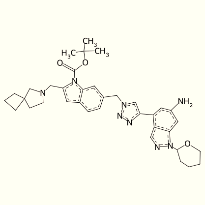 CC(C)(C)OC(=O)n1c(CN2CCC3(CCC3)C2)cc2ccc(Cn3cc(-c4cc(N)cc5c4cnn5C4CCCCO4)nn3)cc21